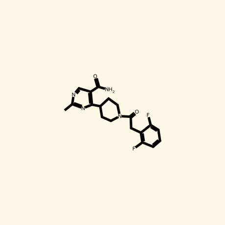 Cc1ncc(C(N)=O)c(C2CCN(C(=O)Cc3c(F)cccc3F)CC2)n1